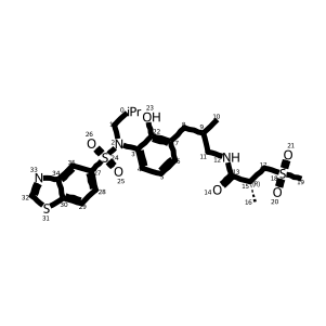 CC(C)CN(c1cccc(CC(C)CNC(=O)[C@@H](C)CS(C)(=O)=O)c1O)S(=O)(=O)c1ccc2scnc2c1